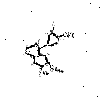 COc1ccc(-c2ncnc3cc(OC)c(OC)cc23)cc1F